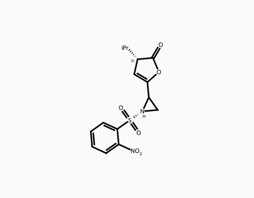 CC(C)[C@H]1C=C(C2C[N@]2S(=O)(=O)c2ccccc2[N+](=O)[O-])OC1=O